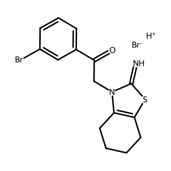 N=c1sc2c(n1CC(=O)c1cccc(Br)c1)CCCC2.[Br-].[H+]